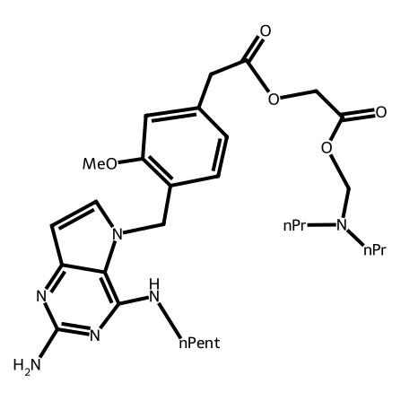 CCCCCNc1nc(N)nc2ccn(Cc3ccc(CC(=O)OCC(=O)OCN(CCC)CCC)cc3OC)c12